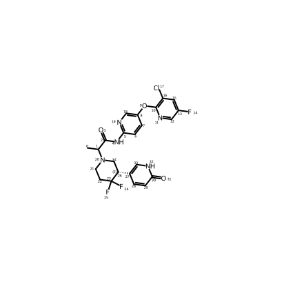 CC(C(=O)Nc1ccc(Oc2ncc(F)cc2Cl)cn1)N1CCC(F)(F)[C@@H](c2ccc(=O)[nH]c2)C1